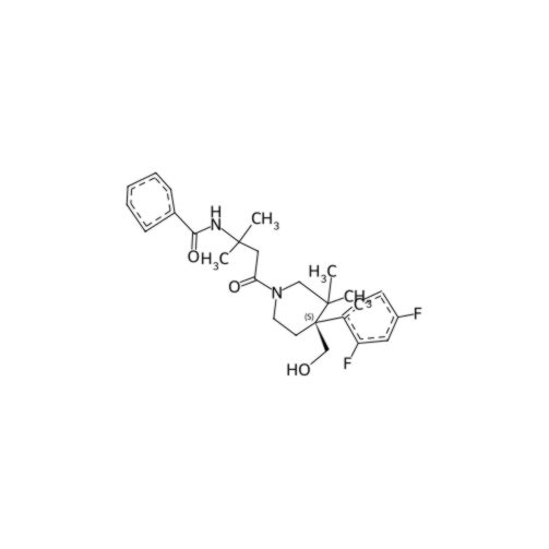 CC(C)(CC(=O)N1CC[C@@](CO)(c2ccc(F)cc2F)C(C)(C)C1)NC(=O)c1ccccc1